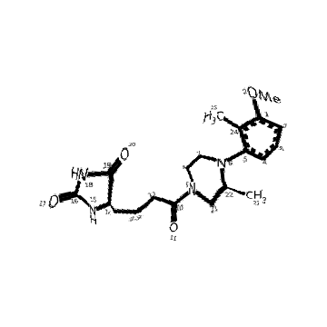 COc1cccc(N2CCN(C(=O)CC[C@H]3NC(=O)NC3=O)C[C@@H]2C)c1C